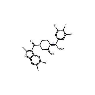 CN/C(=C1/CCN(C(=O)c2c(C)nc3cc(C)c(F)cn23)CC1=N)c1cc(F)c(F)c(F)c1